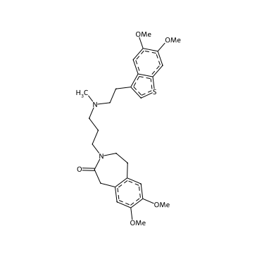 COc1cc2c(cc1OC)CC(=O)N(CCCN(C)CCc1csc3cc(OC)c(OC)cc13)CC2